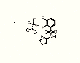 O=C(O)C(F)(F)F.O=S(=O)(Nc1cscn1)c1cccc(F)c1F